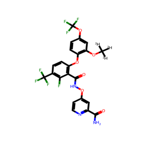 [2H]C([2H])([2H])Oc1cc(OC(F)(F)F)ccc1Oc1ccc(C(F)(F)F)c(F)c1C(=O)NOc1ccnc(C(N)=O)c1